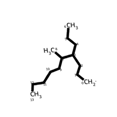 [CH2]CCC(CCC)C(C)CCCCC